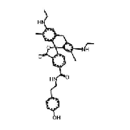 CCNc1cc2c(cc1C)C1(OC(=O)c3cc(C(=O)NCCc4ccc(O)cc4)ccc31)c1cc(C)c(NCC)cc1C2